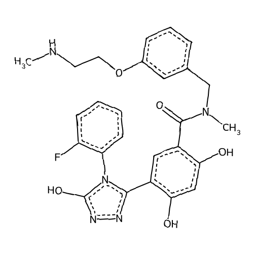 CNCCOc1cccc(CN(C)C(=O)c2cc(-c3nnc(O)n3-c3ccccc3F)c(O)cc2O)c1